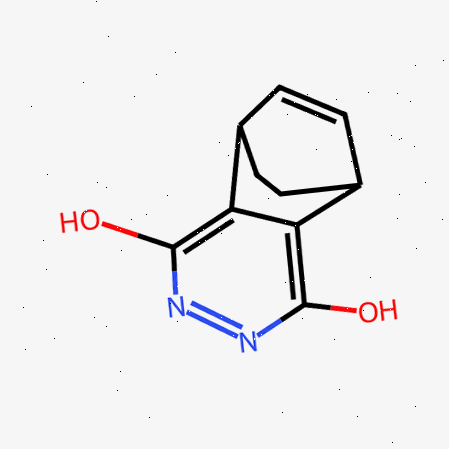 Oc1nnc(O)c2c1C1C=CC2CC1